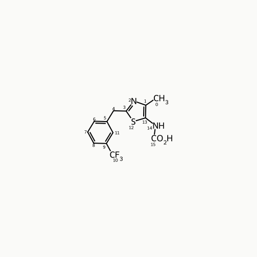 Cc1nc(Cc2cccc(C(F)(F)F)c2)sc1NC(=O)O